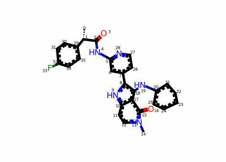 C[C@H](C(=O)Nc1cc(-c2[nH]c3ccn(C)c(=O)c3c2Nc2ccccc2)ccn1)c1ccc(F)cc1